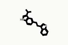 CC(C)c1c[nH]c2ccc(CCc3csc4ccccc34)cc12